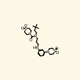 CC(C)(C)CCN(CCCNc1cccc(N2CCS(=O)(=O)CC2)c1)C(=O)N1CCS(=O)(=O)CC1